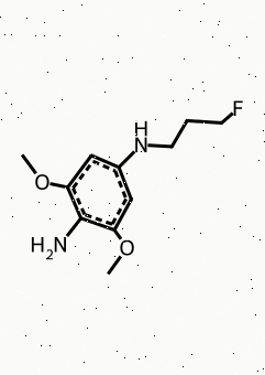 COc1cc(NCCCF)cc(OC)c1N